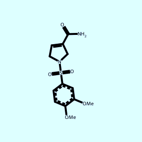 COc1ccc(S(=O)(=O)N2CC=C(C(N)=O)C2)cc1OC